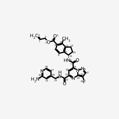 C=CCOC(=O)c1ccc2c(c1C)CC[C@@H]2NC(=O)c1cc(C(=O)NCc2ccnc(N)c2)nc2c(F)cnn12